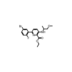 CCOC(=O)c1nc(-c2cc(Br)ccc2F)ccc1NC(C)COC